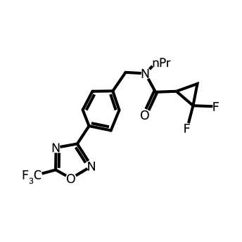 CCCN(Cc1ccc(-c2noc(C(F)(F)F)n2)cc1)C(=O)C1CC1(F)F